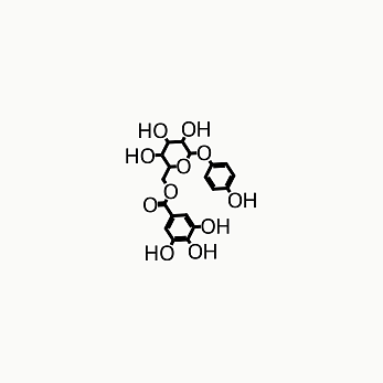 O=C(OCC1OC(Oc2ccc(O)cc2)C(O)C(O)C1O)c1cc(O)c(O)c(O)c1